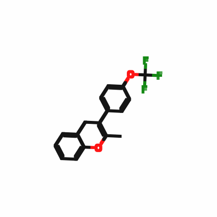 CC1=C(c2ccc(OC(F)(F)F)cc2)Cc2ccccc2O1